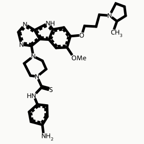 COc1cc2c(cc1OCCCN1CCCC1C)[nH]c1ncnc(N3CCN(C(=S)Nc4ccc(N)cc4)CC3)c12